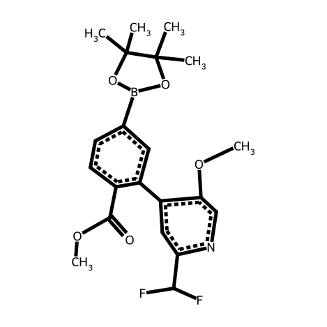 COC(=O)c1ccc(B2OC(C)(C)C(C)(C)O2)cc1-c1cc(C(F)F)ncc1OC